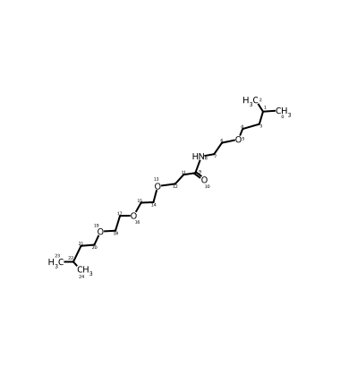 CC(C)CCOCCNC(=O)CCOCCOCCOCCC(C)C